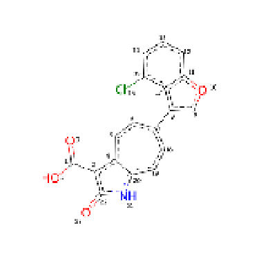 O=C(O)c1c2ccc(-c3coc4cccc(Cl)c34)ccc-2[nH]c1=O